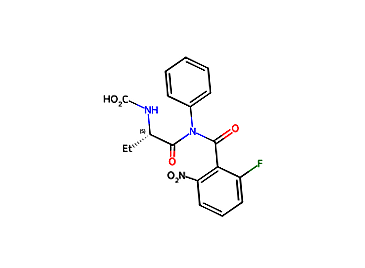 CC[C@H](NC(=O)O)C(=O)N(C(=O)c1c(F)cccc1[N+](=O)[O-])c1ccccc1